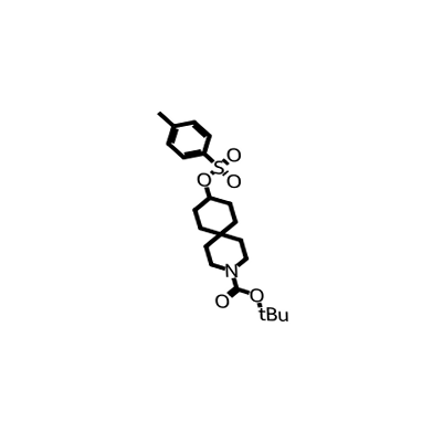 Cc1ccc(S(=O)(=O)OC2CCC3(CC2)CCN(C(=O)OC(C)(C)C)CC3)cc1